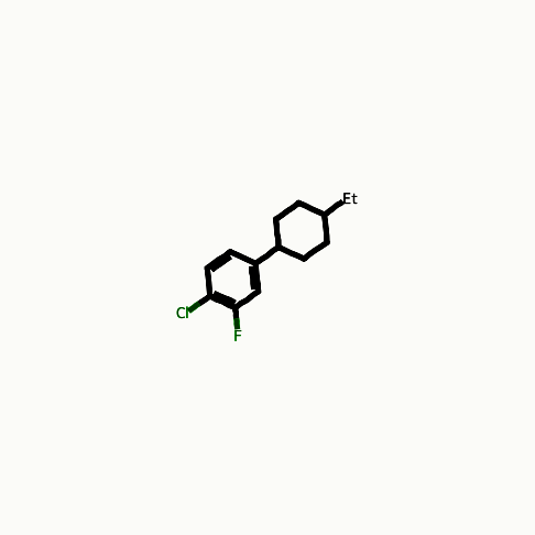 CCC1CCC(c2ccc(Cl)c(F)c2)CC1